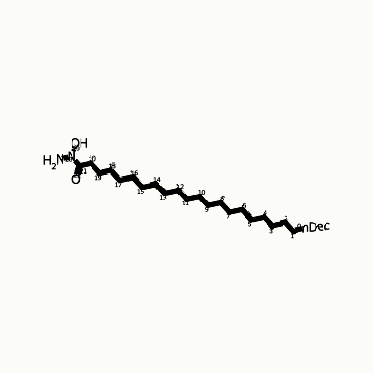 CCCCCCCCCCCCCCCCCCCCCCCCCCCCCCC(=O)N(N)O